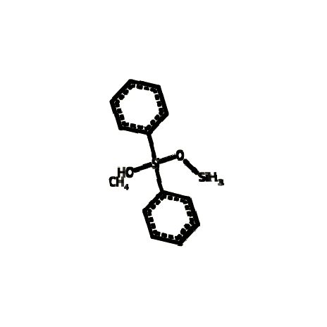 C.O[Si](O[SiH3])(c1ccccc1)c1ccccc1